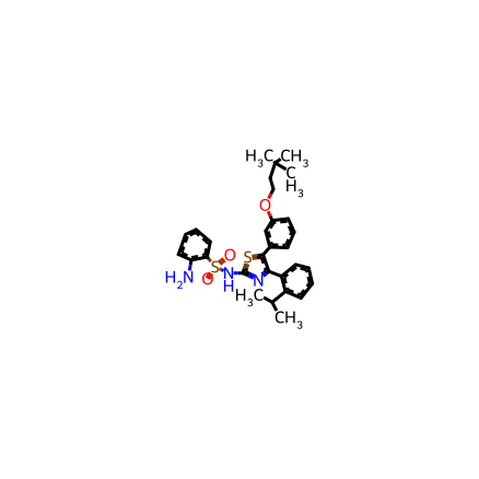 CC(C)c1ccccc1-c1nc(NS(=O)(=O)c2ccccc2N)sc1-c1cccc(OCCC(C)(C)C)c1